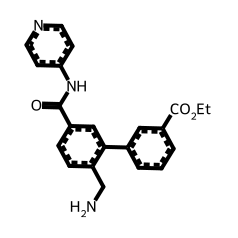 CCOC(=O)c1cccc(-c2cc(C(=O)Nc3ccncc3)ccc2CN)c1